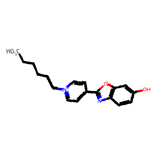 O=C(O)CCCCC[n+]1ccc(-c2nc3ccc(O)cc3o2)cc1